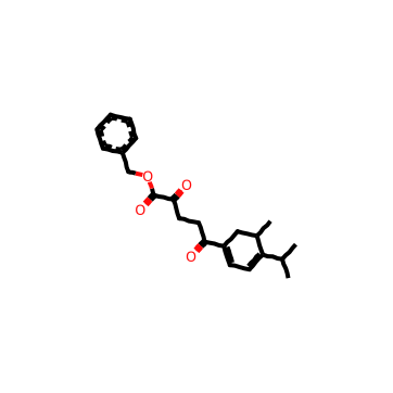 CC(C)C1=CC=C(C(=O)CCC(=O)C(=O)OCc2ccccc2)CC1C